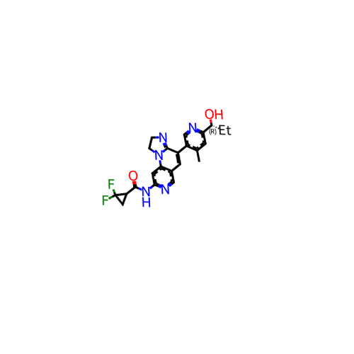 CC[C@@H](O)c1cc(C)c(C2=Cc3cnc(NC(=O)C4CC4(F)F)cc3N3CCN=C23)cn1